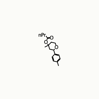 CCCC(=O)OC1(C)CCOC(c2ccc(C)cc2)C1